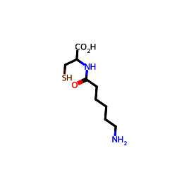 NCCCCCC(=O)NC(CS)C(=O)O